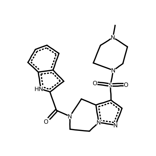 CN1CCN(S(=O)(=O)c2cnn3c2CN(C(=O)c2cc4ccccc4[nH]2)CC3)CC1